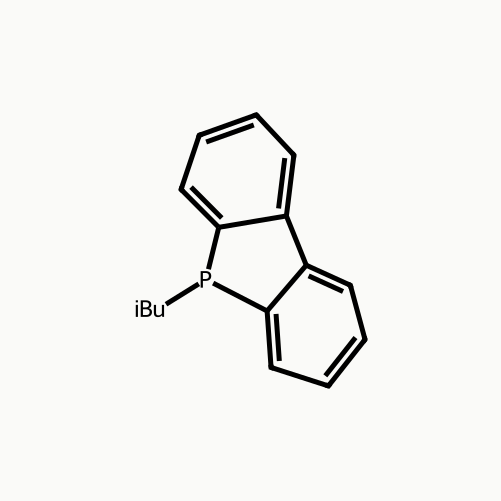 CCC(C)p1c2ccccc2c2ccccc21